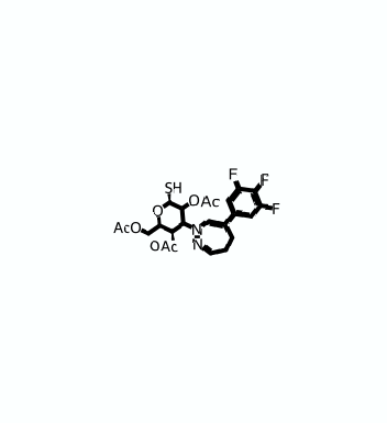 CC(=O)OCC1O[C@@H](S)C(OC(C)=O)C(N2C=C(c3cc(F)c(F)c(F)c3)CCC=N2)[C@H]1OC(C)=O